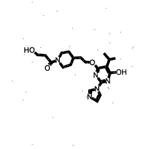 CC(C)c1c(O)nc(-n2ccnc2)nc1OCCC1CCN(C(=O)CCO)CC1